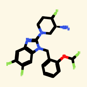 N[C@@H]1CN(c2nc3cc(F)c(F)cc3n2Cc2ccccc2OC(F)F)CCC1F